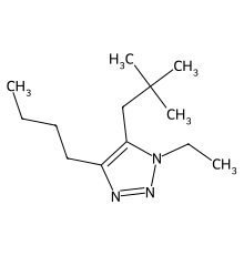 CCCCc1nnn(CC)c1CC(C)(C)C